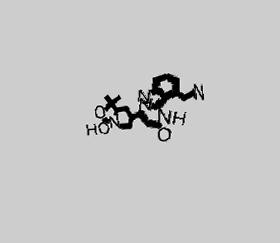 CC(C)(C)C1CC(c2cc(=O)[nH]c3c4c(CC#N)cccc4nn23)CCN1C(=O)O